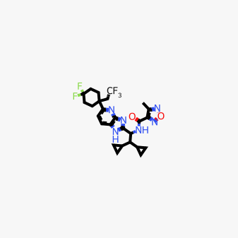 Cc1nonc1C(=O)NC(c1nc2nc(C3(CC(F)(F)F)CCC(F)(F)CC3)ccc2[nH]1)C(C1CC1)C1CC1